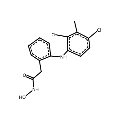 Cc1c(Cl)ccc(Nc2ccccc2CC(=O)NO)c1Cl